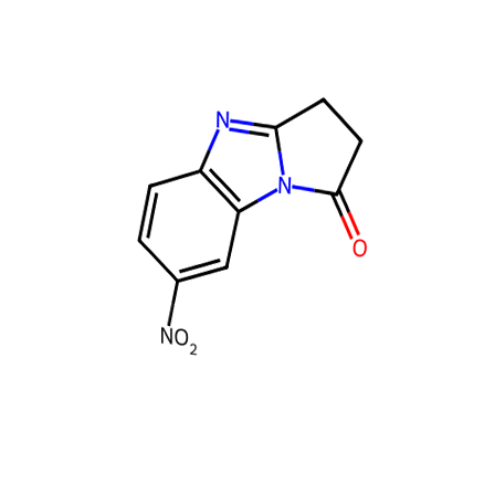 O=C1CCc2nc3ccc([N+](=O)[O-])cc3n21